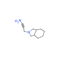 NC#CCN1CC2CCCCC2C1